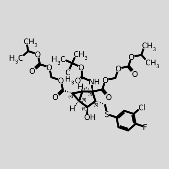 CC(C)OC(=O)OCOC(=O)[C@H]1[C@@H]2[C@H](O)[C@@H](CSc3ccc(F)c(Cl)c3)[C@@](NC(=O)OC(C)(C)C)(C(=O)OCOC(=O)OC(C)C)[C@H]12